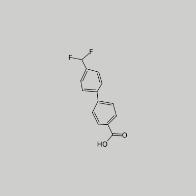 O=C(O)c1ccc(-c2ccc(C(F)F)cc2)cc1